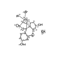 O=C1OC2(c3ccc(O)cc3Oc3cc(O)ccc32)c2ccc(Br)c(Br)c21.[KH]